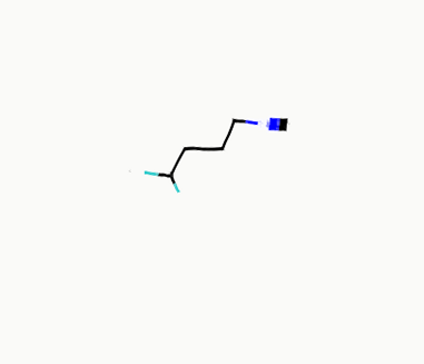 [C-]#[N+]CCCC(F)F